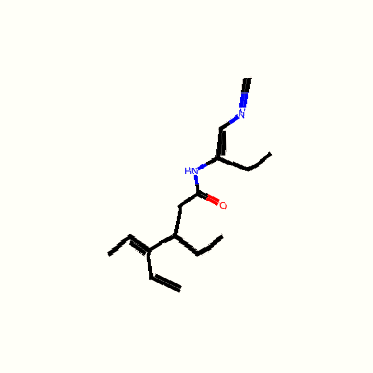 C=C/C(=C\C)C(CC)CC(=O)N/C(=C/N=C)CC